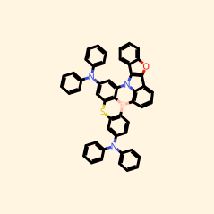 c1ccc(N(c2ccccc2)c2ccc3c(c2)Sc2cc(N(c4ccccc4)c4ccccc4)cc4c2B3c2cccc3c5oc6ccccc6c5n-4c23)cc1